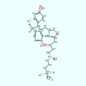 CC1(c2ccc(O)cc2)CSc2cc(O)ccc2C1CCC1COC(CCCC[S+]([O-])CCCC(F)(F)C(F)(F)F)=N1